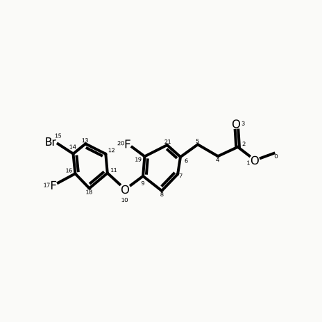 COC(=O)CCc1ccc(Oc2ccc(Br)c(F)c2)c(F)c1